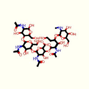 CNC1C(OC(CCO)/C(O)=C(/NC(C)=O)C(O)OC2C(CO)OC(OC3C(CO)OC(OC4C(CO)OC(O)C(NC(C)=O)C4O)C(NC(C)=O)C3O)C(NC(C)=O)C2O)OC(CO)C(O)C1O